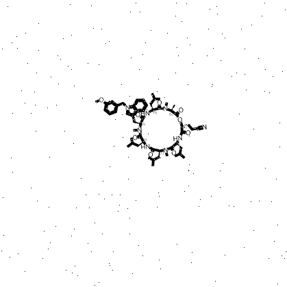 COc1cccc(Cn2cc(C[C@H]3C(=O)N[C@@H](CC(C)C)C(=O)N(C)[C@@H](C)C(=O)O[C@H](CCC#N)C(=O)N[C@@H](CC(C)C)C(=O)N(C)[C@@H](CC(C)C)C(=O)N[C@@H](CC(C)C)C(=O)N3C)c3ccccc32)c1